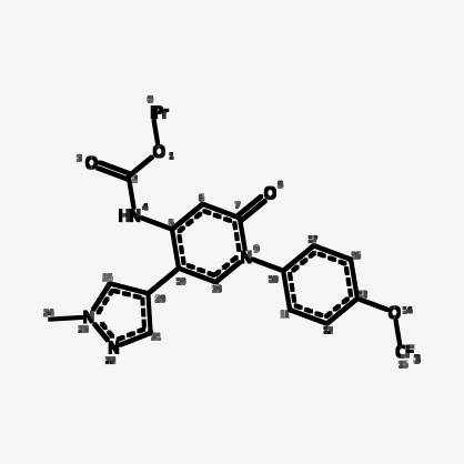 CC(C)OC(=O)Nc1cc(=O)n(-c2ccc(OC(F)(F)F)cc2)cc1-c1cnn(C)c1